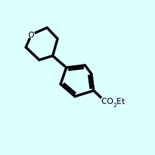 CCOC(=O)c1ccc(C2CCOCC2)cc1